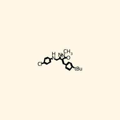 CN1N=C(CNc2ccc(Cl)cc2)C(=Cc2ccc(C(C)(C)C)cc2)C1=O